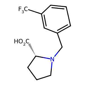 O=C(O)[C@H]1CCCN1Cc1cccc(C(F)(F)F)c1